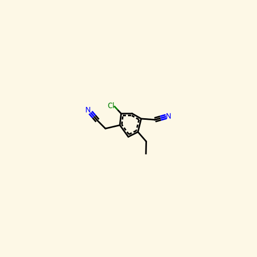 CCc1cc(CC#N)c(Cl)cc1C#N